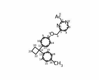 CC(=O)c1nccc(COc2ccc(C3(c4ccc(C)cc4)CCC3)cc2)n1